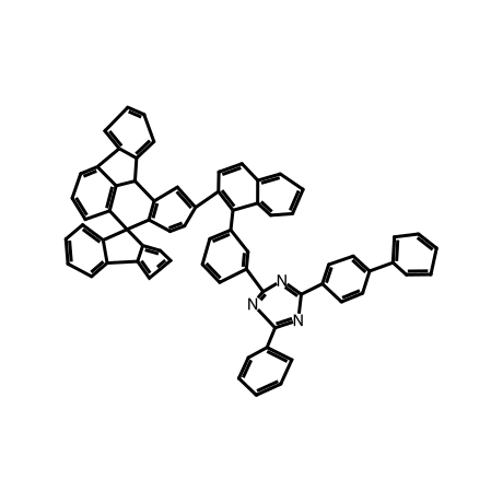 c1ccc(-c2ccc(-c3nc(-c4ccccc4)nc(-c4cccc(-c5c(-c6ccc7c(c6)C6c8ccccc8-c8cccc(c86)C76c7ccccc7-c7ccccc76)ccc6ccccc56)c4)n3)cc2)cc1